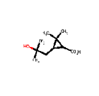 CC1(C)C(CC(C)(O)C(F)(F)F)C1C(=O)O